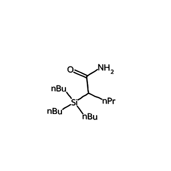 CCCC[Si](CCCC)(CCCC)C(CCC)C(N)=O